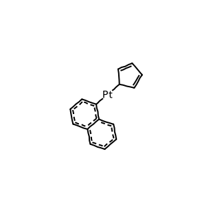 C1=C[CH]([Pt][c]2cccc3ccccc23)C=C1